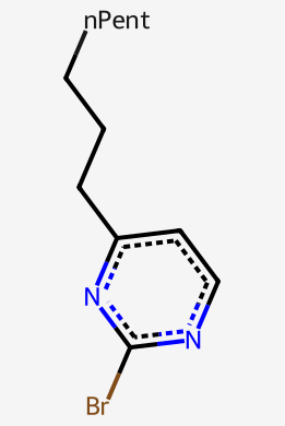 CCCCCCCCc1ccnc(Br)n1